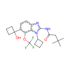 CC(C)(C)CC(=O)Nc1nc2ccc(C3(O)CCC3)c(OC(F)(F)F)c2n1C1CCC1